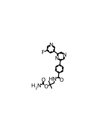 CC(C)(CNC(=O)c1ccc(-c2cncc(-c3cncc(F)c3)n2)cc1)OC(N)=O